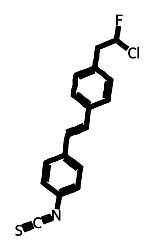 FC(Cl)Cc1ccc(C=Cc2ccc(N=C=S)cc2)cc1